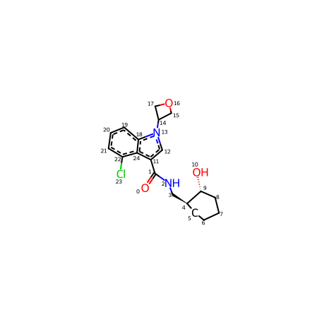 O=C(NC[C@@H]1CCCC[C@H]1O)c1cn(C2COC2)c2cccc(Cl)c12